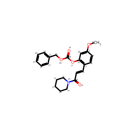 COc1ccc(/C=C/C(=O)N2CCCCC2)c(OC(=O)OCc2ccccc2)c1